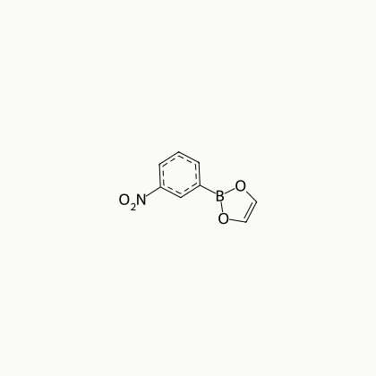 O=[N+]([O-])c1cccc(B2OC=CO2)c1